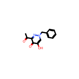 CC(=O)c1nn(Cc2ccccc2)cc(O)c1=O